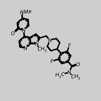 CNc1ccn(-c2ccnc3c2cc(CN2CCC(c4c(F)cc(C(=O)N(C)C)cc4F)CC2)n3C)c(=O)c1